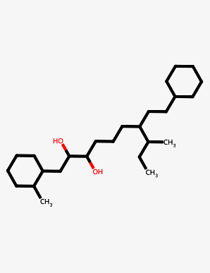 CCC(C)C(CCCC(O)C(O)CC1CCCCC1C)CCC1CCCCC1